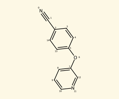 N#Cc1ccc(Oc2cccnc2)cc1